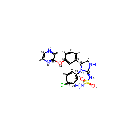 NS(=O)(=O)N=C1NC[C@H](c2cccc(Oc3cnccn3)c2)N1c1ccc(Cl)cc1